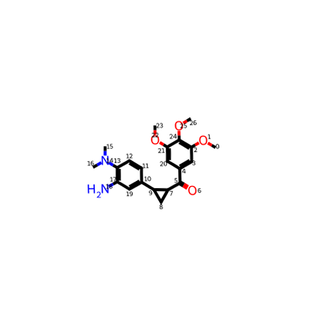 COc1cc(C(=O)C2CC2c2ccc(N(C)C)c(N)c2)cc(OC)c1OC